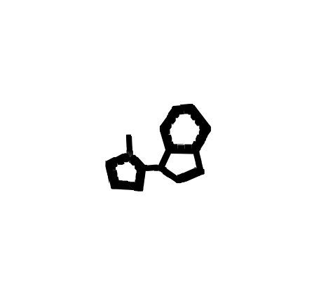 Cp1cccc1[C]1C=Cc2ccccc21